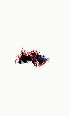 COc1ccccc1C(Cn1c(=O)n(C(C)(C)C(=O)O)c(=O)c2c(C)c(-c3ncco3)sc21)OC1C[C@@H]2CC(O)(C3CC3)C[C@@H]2C1